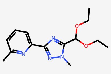 CCOC(OCC)c1nc(-c2cccc(C)n2)nn1C